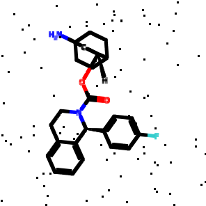 NC12CCC(CC1)[C@H](OC(=O)N1CCc3ccccc3[C@@H]1c1ccc(F)cc1)C2